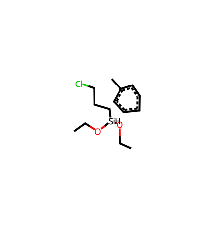 CCO[SiH](CCCCl)OCC.Cc1ccccc1